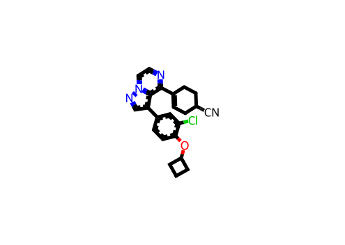 N#CC1CC=C(c2nccn3ncc(-c4ccc(OC5CCC5)c(Cl)c4)c23)CC1